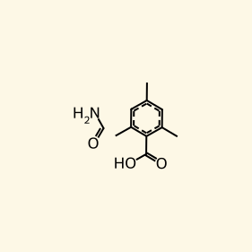 Cc1cc(C)c(C(=O)O)c(C)c1.NC=O